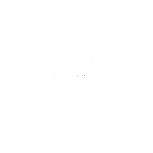 CC/C=C/[C@H](CC)N(C(=O)[C@H]1[C@H](CC)CCN1C(=O)OC(C)(C)C)[C@@H](C)C(=O)OC